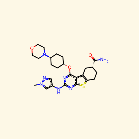 Cn1cc(Nc2nc(O[C@H]3CC[C@H](N4CCOCC4)CC3)c3c4c(sc3n2)CC[C@@H](C(N)=O)C4)cn1